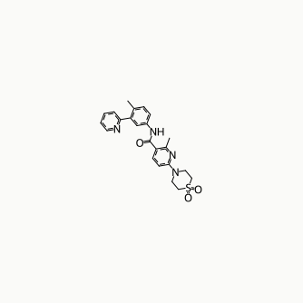 Cc1ccc(NC(=O)c2ccc(N3CCS(=O)(=O)CC3)nc2C)cc1-c1ccccn1